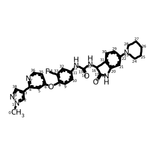 Cn1cc(-c2cc(Oc3ccc(NC(=O)NC4C(=O)Nc5cc(N6CCCCC6)ccc54)cc3F)ccn2)cn1